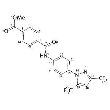 COC(=O)c1ccc(C(=O)Nc2ccc(-n3nc(C(F)(F)F)cc3C(F)(F)F)cc2)cc1